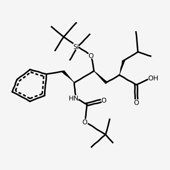 CC(C)C[C@H](C[C@H](O[Si](C)(C)C(C)(C)C)[C@H](Cc1ccccc1)NC(=O)OC(C)(C)C)C(=O)O